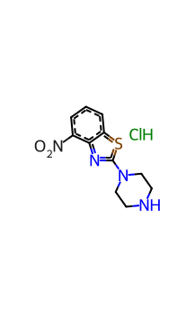 Cl.O=[N+]([O-])c1cccc2sc(N3CCNCC3)nc12